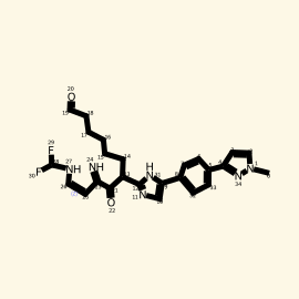 Cn1ccc(-c2ccc(-c3cnc(C(CCCCCC=O)C(=O)C(=N)/C=C\NC(F)F)[nH]3)cc2)n1